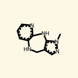 Cn1ncc2c1Nc1ncccc1NC2